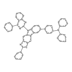 c1ccc(-c2nc3cc4c(cc3s2)c2cc(-c3ccc(N(c5ccccc5)c5ccccc5)cc3)ccc2n4-c2nc(-c3ccccc3)c3ccccc3n2)cc1